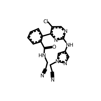 N#CCNC(=O)c1ccccc1-c1nc(Nc2cnn(CC#N)c2)ncc1Cl